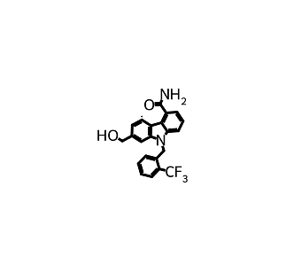 NC(=O)c1cccc2c1c1[c]cc(CO)cc1n2Cc1ccccc1C(F)(F)F